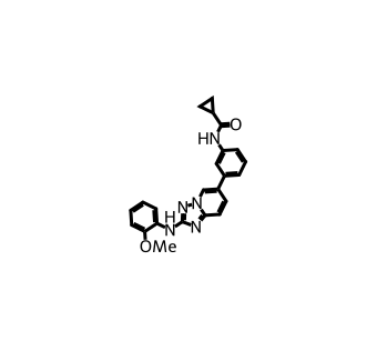 COc1ccccc1Nc1nc2ccc(-c3cccc(NC(=O)C4CC4)c3)cn2n1